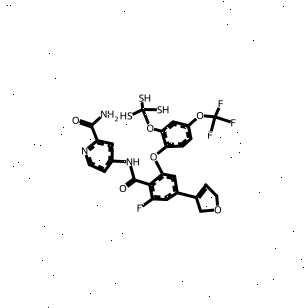 NC(=O)c1cc(NC(=O)c2c(F)cc(C3=CCOC3)cc2Oc2ccc(OC(F)(F)F)cc2OC(S)(S)S)ccn1